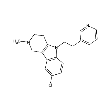 CN1CCc2c(c3cc(Cl)ccc3n2CCc2cccnc2)C1